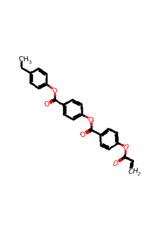 C=CC(=O)Oc1ccc(C(=O)Oc2ccc(C(=O)Oc3ccc(CC)cc3)cc2)cc1